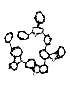 c1ccc(-c2ccc3c(c2)c2ccccc2n3-c2ccc3c(c2)oc2cccc(-c4ccc(-c5cccc(-c6nc(-c7ccccc7)nc(-c7ccccc7)n6)c5)c5c4oc4ccccc45)c23)cc1